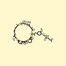 CO[C@H]1C[C@@H]2CC[C@@H](C)[C@@](O)(O2)C(=O)C(=O)N2CCCC[C@H]2C(=O)O[C@H]([C@H](C)C[C@@H]2CC[C@@H](OCNC(=O)CCC(C)=O)[C@H](OC)C2)CC(=O)[C@H](C)/C=C(\C)[C@@H](O)[C@@H](OC)C(=O)[C@H](C)C[C@H](C)/C=C/C=C/C=C/1C